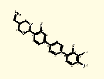 C=CC1COC(c2ccc(-c3ccc(-c4ccc(CCC)c(F)c4F)cc3)cc2F)OC1